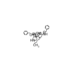 CCCCC[C@H](CC(=O)NOCc1ccccc1)C(=O)[N@@+]1(C(=O)O)CCNCC1C(=O)OCc1ccccc1